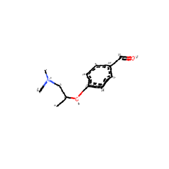 CC(CN(C)C)Oc1ccc(C=O)cc1